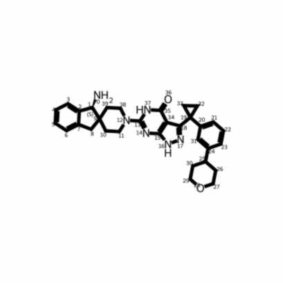 N[C@@H]1c2ccccc2CC12CCN(c1nc3[nH]nc(C4(c5cccc(C6CCOCC6)c5)CC4)c3c(=O)[nH]1)CC2